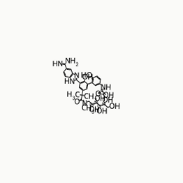 CN(C[C@@H](O)[C@H](O)[C@@H](O)[C@@H](O)CO)C(=O)C(C)(C)c1cc(-c2nc3cc(C(=N)N)ccc3[nH]2)c(O)c(-c2cc(NS(=O)O)ccc2O)c1